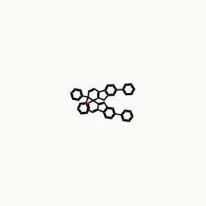 C1=CC2(C3=Cc4cc(-c5ccccc5)ccc4C3=C1)C1=C(C=CC2(c2ccccc2)c2ccccc2)c2ccc(-c3ccccc3)cc2C1